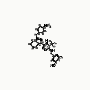 Cc1cc(O)nc(CNC(=O)C(NC(=O)c2nn(Cc3ccc(N)cc3)c3ccccc23)C(C)(C)C)n1